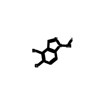 Clc1ccc2c(cnn2PI)c1Br